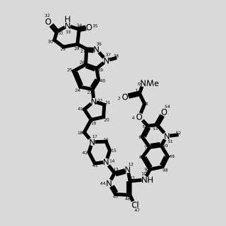 CNC(=O)COc1cc2cc(Nc3nc(N4CCN(CC5CCN(c6ccc7c(C8CCC(=O)NC8=O)nn(C)c7c6)C5)CC4)ncc3Cl)ccc2n(C)c1=O